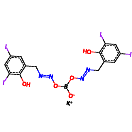 [K+].[O-]B(O/N=N/Cc1cc(I)cc(I)c1O)O/N=N/Cc1cc(I)cc(I)c1O